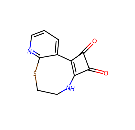 O=c1c2c(c1=O)-c1cccnc1SCCN2